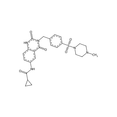 CN1CCN(S(=O)(=O)c2ccc(Cn3c(=O)[nH]c4ccc(NC(=O)C5CC5)cc4c3=O)cc2)CC1